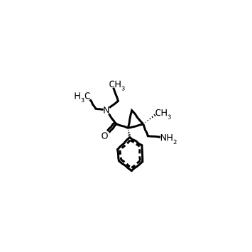 CCN(CC)C(=O)[C@@]1(c2ccccc2)C[C@@]1(C)CN